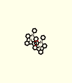 c1ccc(N(c2ccccc2)c2cccc3c4cccc5c6c7ccc8c9cccc%10c%11cccc(N(c%12ccccc%12)c%12ccccc%12)c%11n(c8c7ccc6n(c23)c45)c%109)cc1